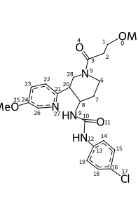 COCCC(=O)N1CCC(NC(=O)Nc2ccc(Cl)cc2)C(c2ccc(OC)cn2)C1